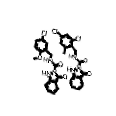 COc1ccc(Cl)cc1CNC(=O)n1[nH]c2ccccc2c1=O.Cc1cc(Cl)cc(Cl)c1CNC(=O)n1[nH]c2ccccc2c1=O